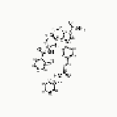 NC(=O)c1nn(-c2ccc(C=CC(=O)NCc3ccccc3)cc2)c2c1CCc1ccc(NC(=O)c3ccccc3Cl)cc1-2